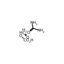 C=O.NC(N)=O.O=C(O)O